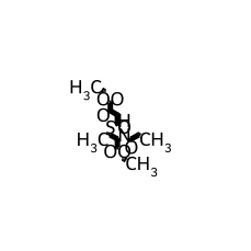 CCOC(=O)C(=O)CC(=O)SC(C)C(NC(=O)CC)C(=O)OCC